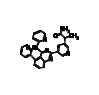 CC(C(N)=O)c1cncc(-c2nc(N(C)c3ccccn3)c3c(-c4ccccc4)cccc3n2)c1